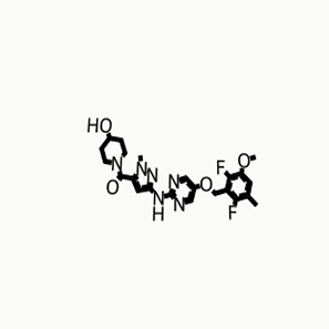 COc1cc(C)c(F)c(COc2cnc(Nc3cc(C(=O)N4CCC(O)CC4)n(C)n3)nc2)c1F